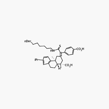 CC(C)c1ccc2c(c1)CC[C@H]1[C@@](C)(C(=O)O)CCC[C@]21C.CCCCCCCCCCCCCCCCNC(=S)Nc1ccc(C(=O)O)cc1